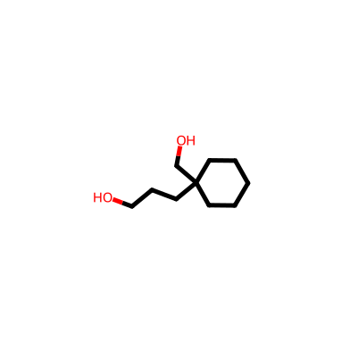 OCCCC1(CO)CCCCC1